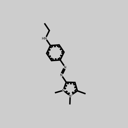 CCNc1ccc(N=Nc2cc(C)[n+](C)n2C)cc1